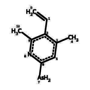 C=Cc1c(C)cc([AsH2])nc1C